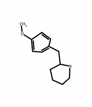 COc1ccc(CC2CCCC[N]2)cc1